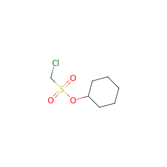 O=S(=O)(CCl)OC1CCCCC1